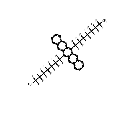 FC(F)(F)C(F)(F)C(F)(F)C(F)(F)C(F)(F)C(F)(F)C(F)(F)C(F)(F)c1c2cc3ccccc3cc2c(C(F)(F)C(F)(F)C(F)(F)C(F)(F)C(F)(F)C(F)(F)C(F)(F)C(F)(F)F)c2cc3ccccc3cc12